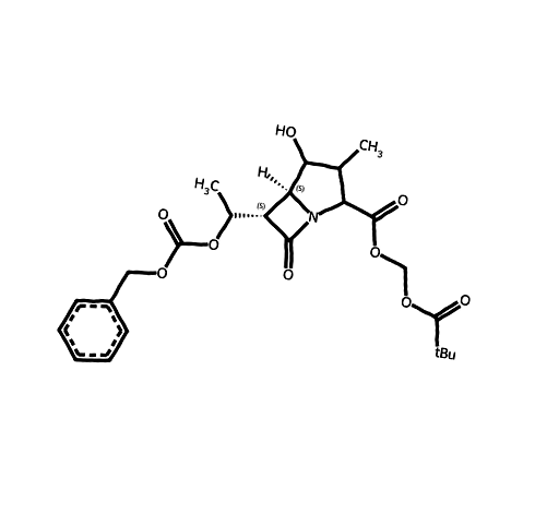 CC1C(O)[C@@H]2[C@@H](C(C)OC(=O)OCc3ccccc3)C(=O)N2C1C(=O)OCOC(=O)C(C)(C)C